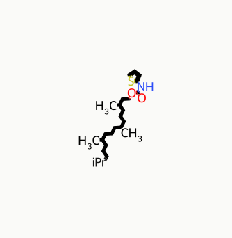 CC(C)CCCC(C)CCCC(C)CCCC(C)CCOC(=O)Nc1cccs1